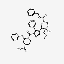 COCC1(O)CCN(C(=O)OCc2ccccc2)CC1n1cnc(C(=O)N2CCN(C(=O)O)C[C@H]2Cc2ccccc2)c1-c1ccccc1